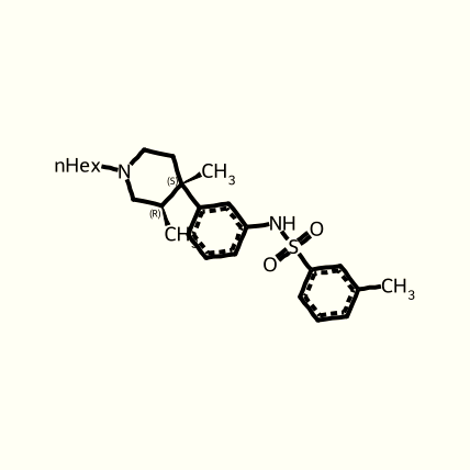 CCCCCCN1CC[C@](C)(c2cccc(NS(=O)(=O)c3cccc(C)c3)c2)[C@@H](C)C1